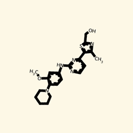 COc1cc(Nc2nccc(-c3sc(CO)nc3C)n2)ccc1N1CCCCC1